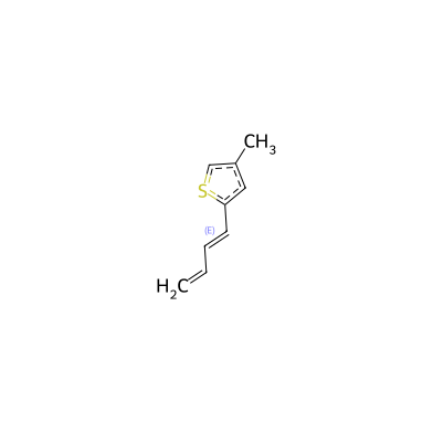 C=C/C=C/c1cc(C)cs1